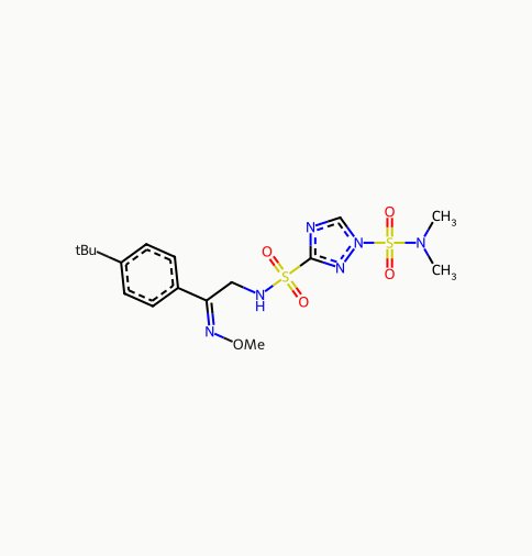 CO/N=C(\CNS(=O)(=O)c1ncn(S(=O)(=O)N(C)C)n1)c1ccc(C(C)(C)C)cc1